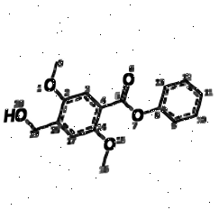 COc1cc(C(=O)Oc2ccccc2)c(OC)cc1CO